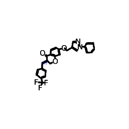 O=C1/C(=C/c2ccc(C(F)(F)F)cc2)COc2cc(OCc3cnn(-c4ccccc4)c3)ccc21